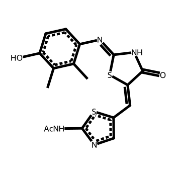 CC(=O)Nc1ncc(C=C2SC(=Nc3ccc(O)c(C)c3C)NC2=O)s1